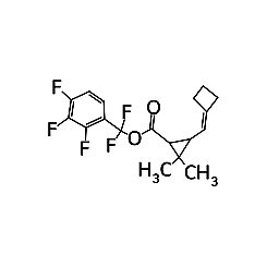 CC1(C)C(C=C2CCC2)C1C(=O)OC(F)(F)c1ccc(F)c(F)c1F